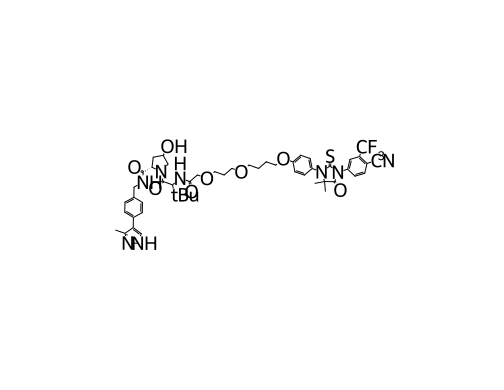 Cc1n[nH]cc1-c1ccc(CNC(=O)[C@@H]2C[C@@H](O)CN2C(=O)C(NC(=O)COCCCOCCCCOc2ccc(N3C(=S)N(c4ccc(C#N)c(C(F)(F)F)c4)C(=O)C3(C)C)cc2)C(C)(C)C)cc1